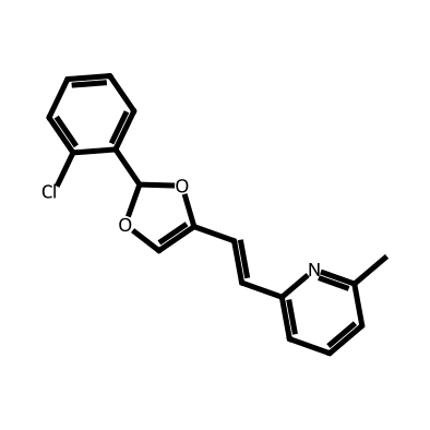 Cc1cccc(C=CC2=COC(c3ccccc3Cl)O2)n1